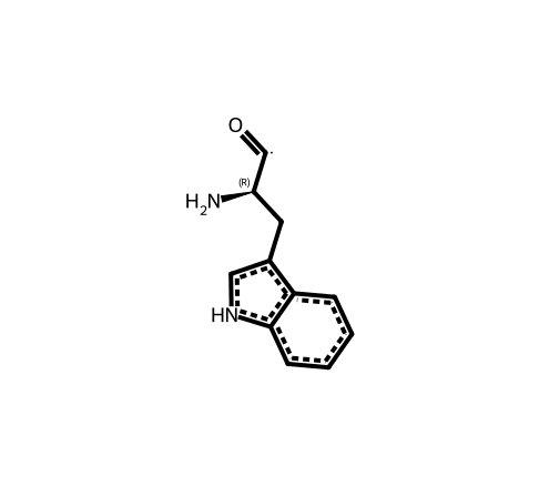 N[C@@H]([C]=O)Cc1c[nH]c2ccccc12